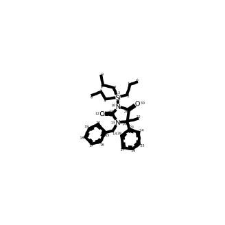 CCC[Si](CCC)(CCC)N1C(=O)N(Cc2ccccc2)C(C)(c2ccccc2)C1=O